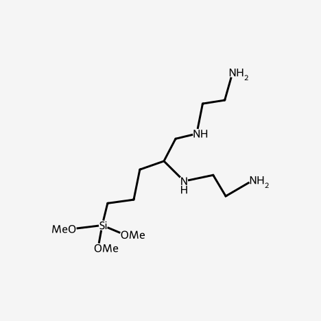 CO[Si](CCCC(CNCCN)NCCN)(OC)OC